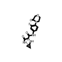 NC(=O)[C@@H](NC1CC1)C(=O)Nc1ccc(N2CCOCC2=O)c(F)c1